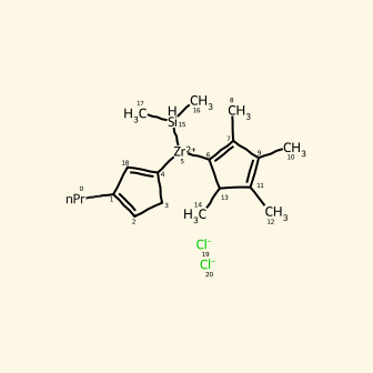 CCCC1=CC[C]([Zr+2]([C]2=C(C)C(C)=C(C)C2C)[SiH](C)C)=C1.[Cl-].[Cl-]